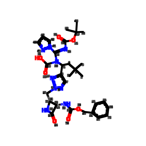 CC(C)(C)CC(c1cnn(C[C@H]2NC(=O)[C@H]2NC(=O)OCc2ccccc2)n1)N(C(=O)O)C(=NC(=O)OC(C)(C)C)n1cccn1